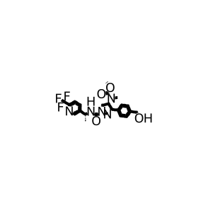 COC(=O)N(C)[C@@H]1CN(C(=O)N[C@H](C)c2ccc(C(F)(F)F)nc2)N=C1c1ccc(CO)cc1